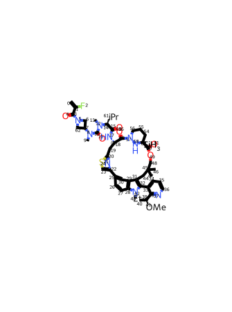 C=C(F)C(=O)N1CC(N(C)C(=O)N(C)[C@H](C(=O)N[C@H]2Cc3nc(cs3)-c3ccc4c(c3)c(c(-c3cccnc3[C@H](C)OC)n4CC)CC(C)(C)COC(=O)[C@@]3([SiH3])CCCN(N3)C2=O)C(C)C)C1